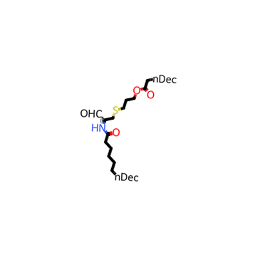 CCCCCCCCCCCCCCCC(=O)N[C@H](C=O)CSCCCOC(=O)CCCCCCCCCCC